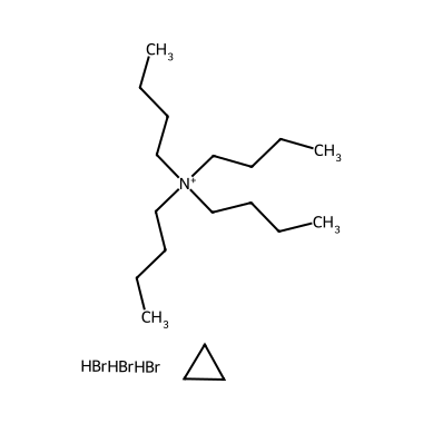 Br.Br.Br.C1CC1.CCCC[N+](CCCC)(CCCC)CCCC